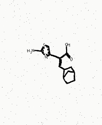 Nc1nc(/C(=C/C2CC3CCC2C3)C(=O)O)cs1